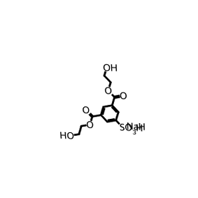 O=C(OCCO)c1cc(C(=O)OCCO)cc(S(=O)(=O)O)c1.[NaH]